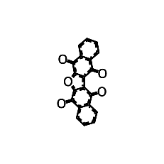 O=c1c2ccccc2c(=O)c2c1oc1c(=O)c3ccccc3c(=O)c12